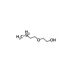 C[SiH2]CCOCCO